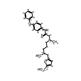 CN(CCCN(C)Cc1ccc(C(=O)O)o1)CC(=O)Nc1ccc(Oc2ccccc2)cc1